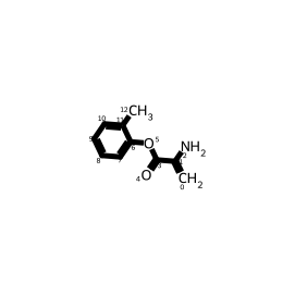 C=C(N)C(=O)Oc1ccccc1C